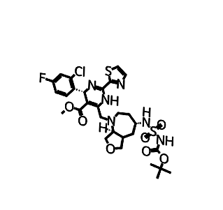 COC(=O)C1=C(CN2CC[C@H](NS(=O)(=O)NC(=O)OC(C)(C)C)CC3COC[C@H]32)NC(c2nccs2)=N[C@H]1c1ccc(F)cc1Cl